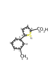 Cc1cccc(-c2ccc(C(=O)O)s2)c1